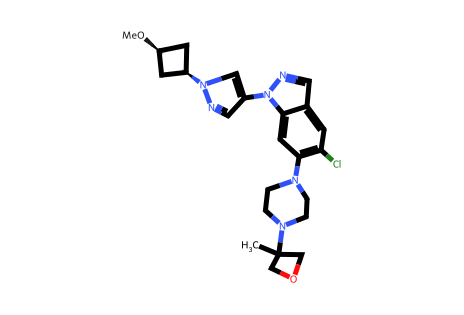 CO[C@H]1C[C@@H](n2cc(-n3ncc4cc(Cl)c(N5CCN(C6(C)COC6)CC5)cc43)cn2)C1